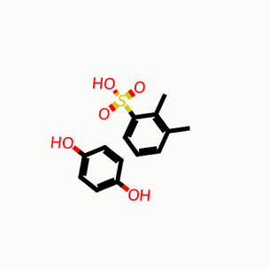 Cc1cccc(S(=O)(=O)O)c1C.Oc1ccc(O)cc1